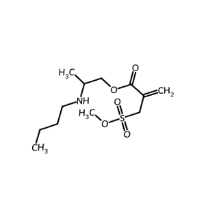 C=C(CS(=O)(=O)OC)C(=O)OCC(C)NCCCC